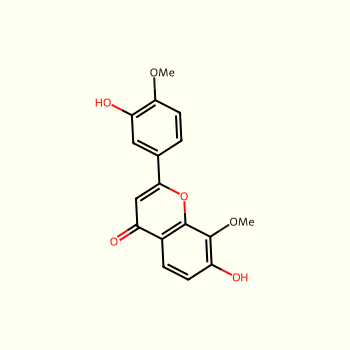 COc1ccc(-c2cc(=O)c3ccc(O)c(OC)c3o2)cc1O